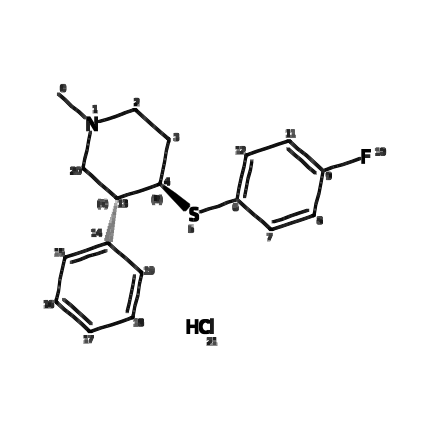 CN1CC[C@@H](Sc2ccc(F)cc2)[C@H](c2ccccc2)C1.Cl